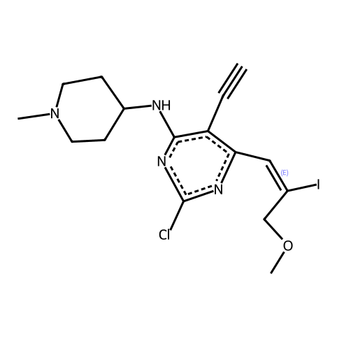 C#Cc1c(/C=C(/I)COC)nc(Cl)nc1NC1CCN(C)CC1